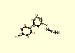 [N-]=[N+]=NCc1cc(-c2ccc(F)cc2)ccn1